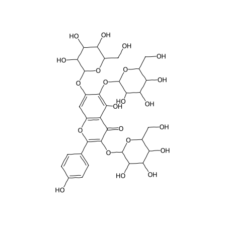 O=c1c(OC2OC(CO)C(O)C(O)C2O)c(-c2ccc(O)cc2)oc2cc(OC3OC(CO)C(O)C(O)C3O)c(OC3OC(CO)C(O)C(O)C3O)c(O)c12